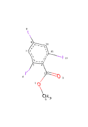 COC(=O)c1c(I)cc(I)cc1I